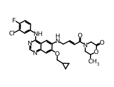 CC1CN(C(=O)C=CCNc2cc3c(Nc4ccc(F)c(Cl)c4)ncnc3cc2OCC2CC2)CC(=O)O1